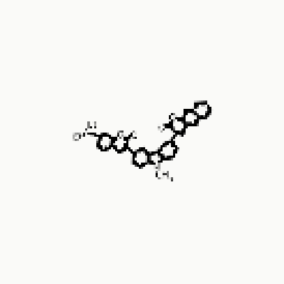 CCN(CC)c1ccc2cc(-c3ccc4c(c3)c3cc(-c5cc6cc7ccccc7cc6oc5=O)ccc3n4C)c(=O)oc2c1